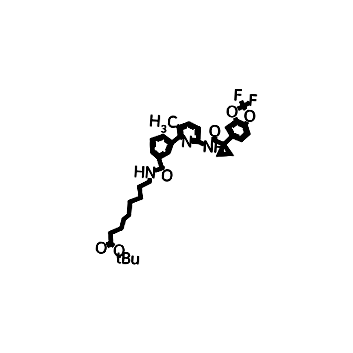 Cc1ccc(NC(=O)C2(c3ccc4c(c3)OC(F)(F)O4)CC2)nc1-c1cccc(C(=O)NCCCCCCCCC(=O)OC(C)(C)C)c1